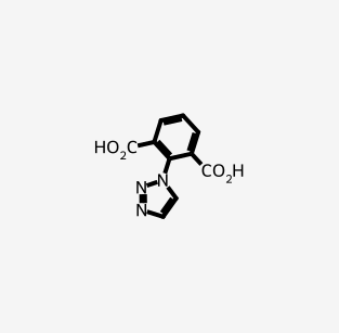 O=C(O)c1cccc(C(=O)O)c1-n1ccnn1